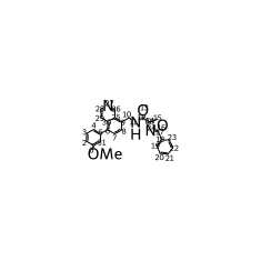 COc1cccc(-c2ccc(CNC(=O)[C@H]3COC(c4ccccc4)=N3)c3cnccc23)c1